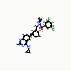 Cc1nc(NC2CC2)c2cc(-c3cccc(CN(C(=O)c4cc(Cl)cc(Cl)c4)C4CC4)c3)ccc2n1